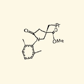 COC(=O)[C@@]1(CC(C)C)CC(=O)N(c2c(C)cccc2C)C1